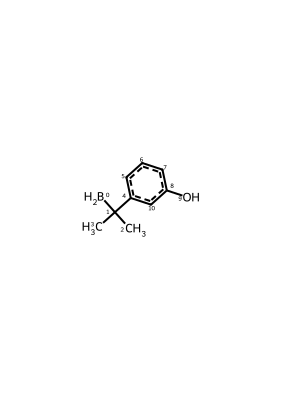 BC(C)(C)c1cccc(O)c1